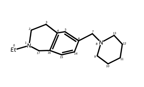 CCN1CCc2cc(CN3CCCCC3)ccc2C1